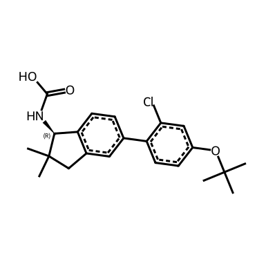 CC(C)(C)Oc1ccc(-c2ccc3c(c2)CC(C)(C)[C@H]3NC(=O)O)c(Cl)c1